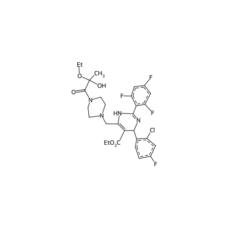 CCOC(=O)C1=C(CN2CCN(C(=O)C(C)(O)OCC)CC2)NC(c2c(F)cc(F)cc2F)=NC1c1ccc(F)cc1Cl